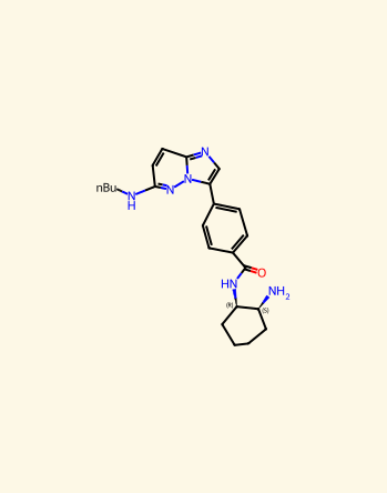 CCCCNc1ccc2ncc(-c3ccc(C(=O)N[C@@H]4CCCC[C@@H]4N)cc3)n2n1